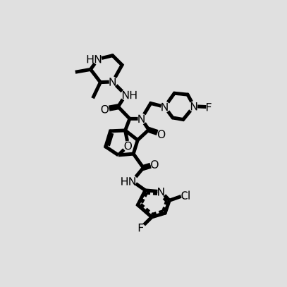 CC1NCCN(NC(=O)C2N(CN3CCN(F)CC3)C(=O)C3C(C(=O)Nc4cc(F)cc(Cl)n4)C4C=CC32O4)C1C